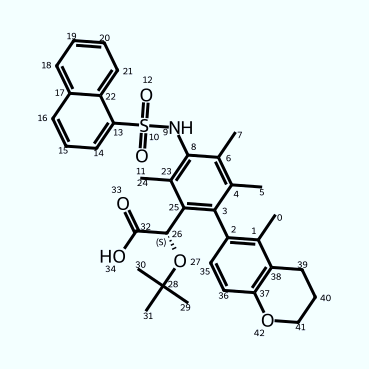 Cc1c(-c2c(C)c(C)c(NS(=O)(=O)c3cccc4ccccc34)c(C)c2[C@H](OC(C)(C)C)C(=O)O)ccc2c1CCCO2